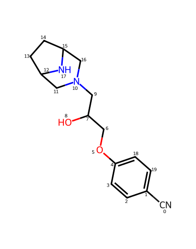 N#Cc1ccc(OCC(O)CN2CC3CCC(C2)N3)cc1